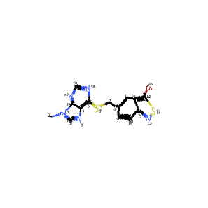 Cn1cnc2c(SCc3ccc4nsc(Br)c4c3)ncnc21